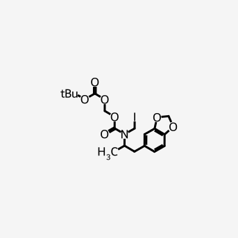 CC(Cc1ccc2c(c1)OCO2)N(CI)C(=O)OCOC(=O)OC(C)(C)C